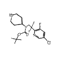 CC(C)(C)OC(=O)N(CC(F)(F)c1ncc(Cl)cc1F)C1CCNCC1